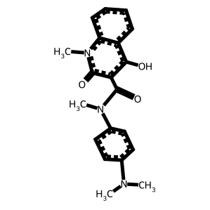 CN(C)c1ccc(N(C)C(=O)c2c(O)c3ccccc3n(C)c2=O)cc1